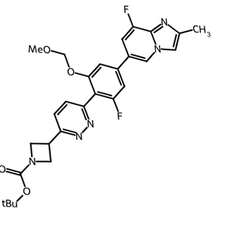 COCOc1cc(-c2cc(F)c3nc(C)cn3c2)cc(F)c1-c1ccc(C2CN(C(=O)OC(C)(C)C)C2)nn1